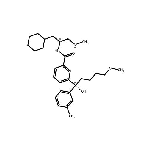 CNC[C@H](CC1CCCCC1)NC(=O)c1cccc([C@@](O)(CCCCOC)c2cccc(C)c2)c1